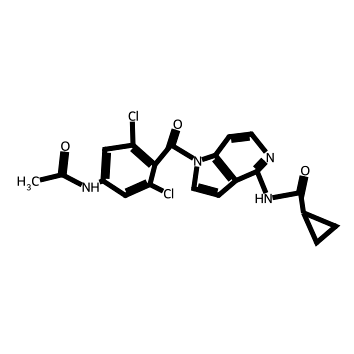 CC(=O)Nc1cc(Cl)c(C(=O)n2ccc3c(NC(=O)C4CC4)nccc32)c(Cl)c1